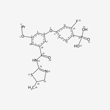 CC(C)Oc1cc(Oc2ccc(P(=O)(O)O)c(F)c2)cc(C(=O)NC2=NCC(C)S2)c1